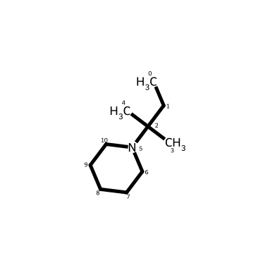 CCC(C)(C)N1CCCCC1